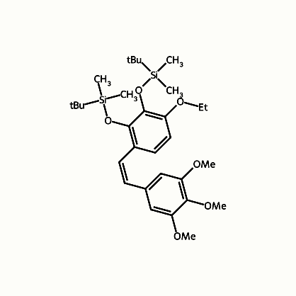 CCOc1ccc(/C=C\c2cc(OC)c(OC)c(OC)c2)c(O[Si](C)(C)C(C)(C)C)c1O[Si](C)(C)C(C)(C)C